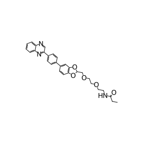 CCC(=O)NCCOCCOCC1Oc2ccc(-c3ccc(-c4cnc5ccccc5n4)cc3)cc2O1